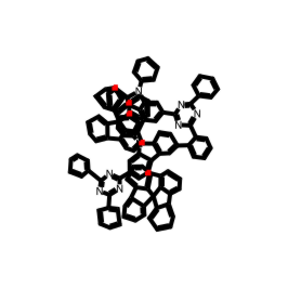 c1ccc(-c2nc(-c3ccccc3)nc(-c3cc(-c4cccc5c4C4(c6ccccc6-c6ccccc64)c4ccccc4-5)c4c5cc(-c6ccccc6-c6nc(-c7ccccc7)nc(-c7cc(-c8cccc9c8C(c8ccccc8)(c8ccccc8)c8ccccc8-9)c8c9ccccc9n(-c9ccccc9)c8c7)n6)ccc5n(-c5ccccc5)c4c3)n2)cc1